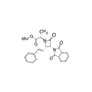 C[C@@H](C(=O)OC(C)(C)C)N1C(=O)[C@H](N2C(=O)c3ccccc3C2=O)[C@@H]1C=Cc1ccccc1